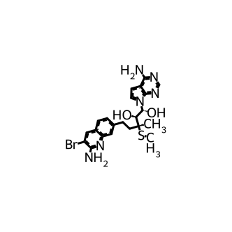 CS[C@](C)(CCc1ccc2cc(Br)c(N)nc2c1)[C@@H](O)[C@@H](O)n1ccc2c(N)ncnc21